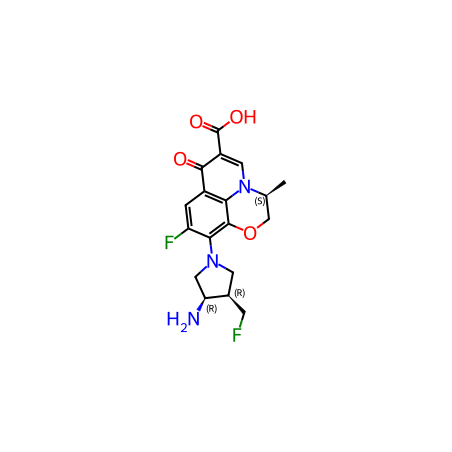 C[C@H]1COc2c(N3C[C@@H](CF)[C@@H](N)C3)c(F)cc3c(=O)c(C(=O)O)cn1c23